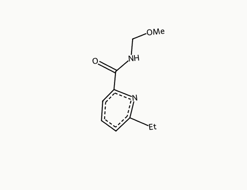 CCc1cccc(C(=O)NCOC)n1